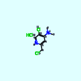 CN(C)c1cc(CCl)ncc1Cl.Cl